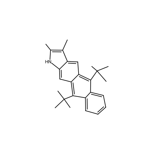 Cc1[nH]c2cc3c(C(C)(C)C)c4ccccc4c(C(C)(C)C)c3cc2c1C